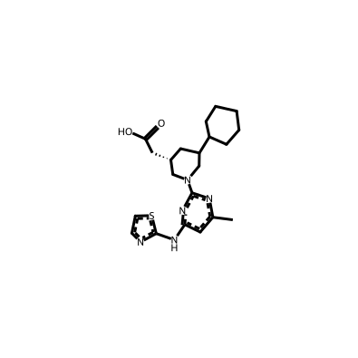 Cc1cc(Nc2nccs2)nc(N2CC(C3CCCCC3)C[C@@H](CC(=O)O)C2)n1